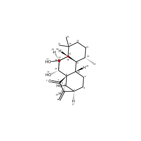 C=C1C(=O)[C@]23[C@H](O)[C@H]1CC[C@H]2[C@@]12CO[C@@]3(O)[C@@H](O)[C@@H]1C(C)(C)CC[C@@H]2C